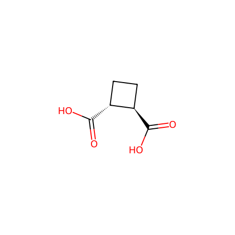 O=C(O)[C@@H]1CC[C@H]1C(=O)O